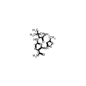 Cc1cc(Nc2nc(N[C@@H](C(N)=O)C(C)(C)C)cnc2C(N)=O)sn1